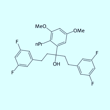 CCCc1c(OC)cc(OC)cc1C(O)(CCc1cc(F)cc(F)c1)CCc1cc(F)cc(F)c1